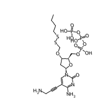 CCCCSSCOC1C[C@H](n2cc(C#CCN)c(N)nc2=O)O[C@@H]1COP(=O)(O)OP(=O)(O)OP(=O)(O)O